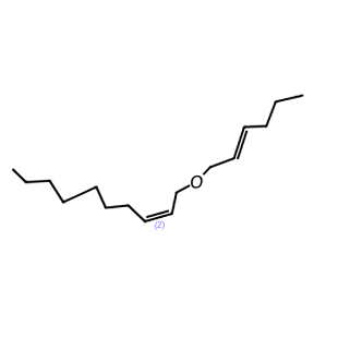 CCCC=CCOC/C=C\CCCCCCC